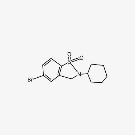 O=S1(=O)c2ccc(Br)cc2CN1C1CCCCC1